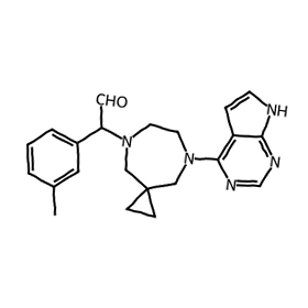 Cc1cccc(C(C=O)N2CCN(c3ncnc4[nH]ccc34)CC3(CC3)C2)c1